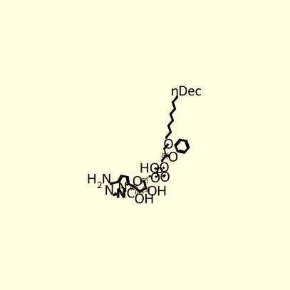 CCCCCCCCCCCCCCCCCCOC[C@H](COP(=O)(O)OC[C@H]1O[C@@](C#N)(c2ccc3c(N)ncnn23)[C@H](O)[C@@H]1O)Oc1ccccc1